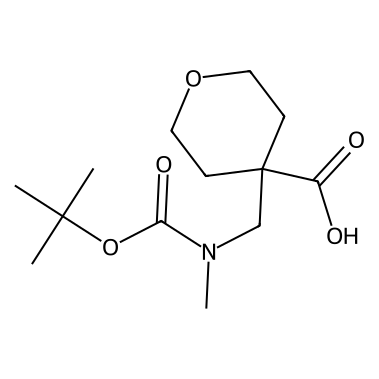 CN(CC1(C(=O)O)CCOCC1)C(=O)OC(C)(C)C